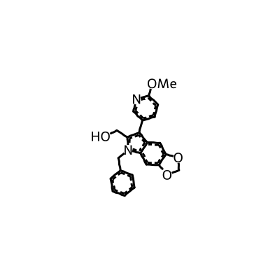 COc1ccc(-c2c(CO)n(Cc3ccccc3)c3cc4c(cc23)OCO4)cn1